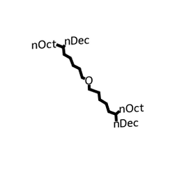 CCCCCCCCCCC(CCCCCCCC)CCCCCOCCCCCC(CCCCCCCC)CCCCCCCCCC